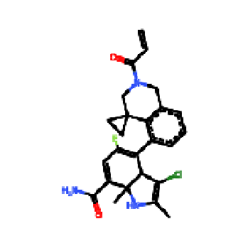 C=CC(=O)N1Cc2cccc(C3=C(F)C=C(C(N)=O)C4(C)NC(C)=C(Cl)C34)c2C2(CC2)C1